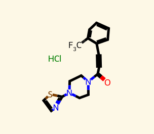 Cl.O=C(C#Cc1ccccc1C(F)(F)F)N1CCN(c2nccs2)CC1